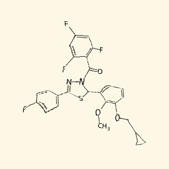 COc1c(OCC2CC2)cccc1C1SC(c2ccc(F)cc2)=NN1C(=O)c1c(F)cc(F)cc1F